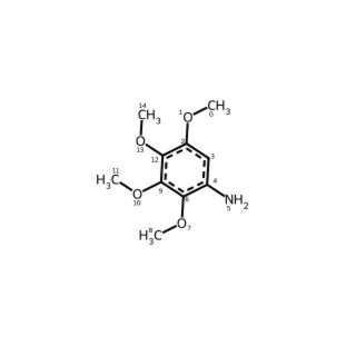 COc1cc(N)c(OC)c(OC)c1OC